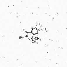 Cc1cc2c(nc1C)C(=O)N(C(C)C)CC2(C)C